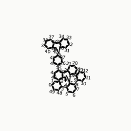 c1ccc(-c2cccc(-c3ccccc3)c2-n2c3ccccc3c3c(-c4ccc(-n5c6ccccc6c6ccccc65)cc4)cccc32)cc1